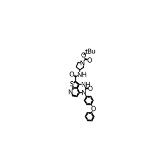 CC(C)(C)OC(=O)N1CCC(NC(=O)c2sc3nccc4c3c2NC(=O)N4c2ccc(Oc3ccccc3)cc2)C1